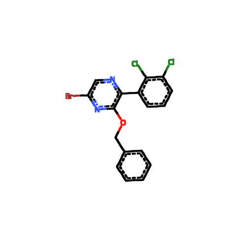 Clc1cccc(-c2ncc(Br)nc2OCc2ccccc2)c1Cl